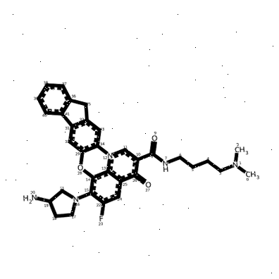 CN(C)CCCCNC(=O)c1cn2c3c(c(N4CCC(N)C4)c(F)cc3c1=O)Oc1cc3c(cc1-2)Cc1ccccc1-3